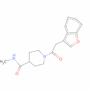 CNC(=O)C1CCN(C(=O)Cc2coc3ccccc23)CC1